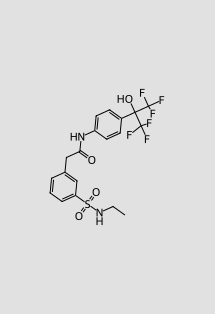 CCNS(=O)(=O)c1cccc(CC(=O)Nc2ccc(C(O)(C(F)(F)F)C(F)(F)F)cc2)c1